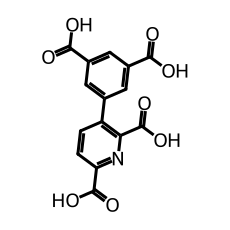 O=C(O)c1cc(C(=O)O)cc(-c2ccc(C(=O)O)nc2C(=O)O)c1